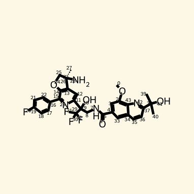 COc1cc(C(=O)NCC(O)(c2cc3c(c(-c4ccc(F)cc4)n2)OC[C@@]3(C)N)C(F)(F)F)cc2ccc(C(C)(C)O)nc12